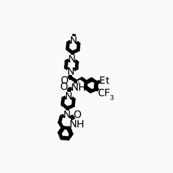 CCc1cc(C[C@@H](NC(=O)N2CCC(N3CCc4ccccc4NC3=O)CC2)C(=O)N2CCN(C3CCN(C)CC3)CC2)ccc1C(F)(F)F